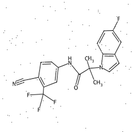 CC(C)(C(=O)Nc1ccc(C#N)c(C(F)(F)F)c1)n1ccc2cc(F)ccc21